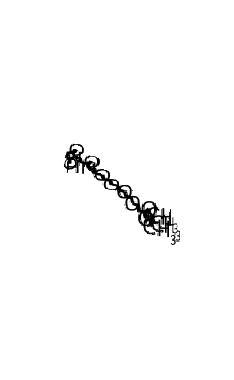 CC(C)(C)OC(=O)CCOCCOCCOCCOCCNC(=O)CCN1C(=O)C=CC1=O